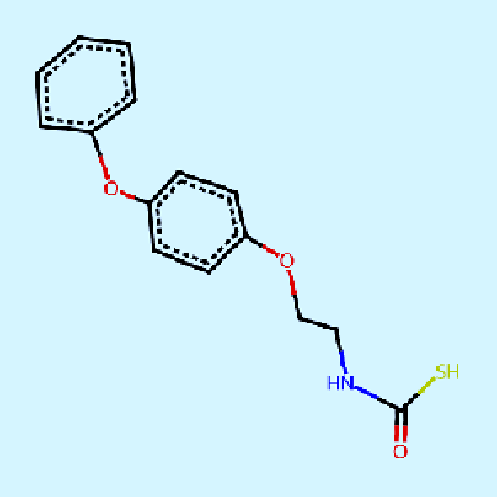 O=C(S)NCCOc1ccc(Oc2ccccc2)cc1